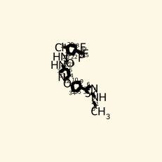 CCCNc1ncc(-c2ccc(Oc3ccc(NC(=O)Nc4cc(C(F)(F)F)ccc4Cl)cn3)cc2)s1